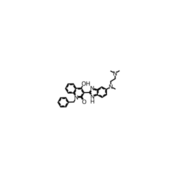 CN(C)CCN(C)c1ccc2[nH]c(-c3c(O)c4ccccc4n(Cc4ccccc4)c3=O)nc2c1